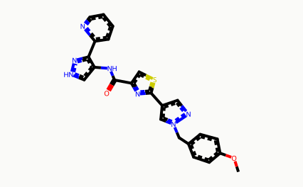 COc1ccc(Cn2cc(-c3nc(C(=O)Nc4c[nH]nc4-c4ccccn4)cs3)cn2)cc1